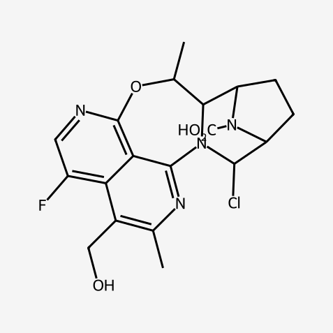 Cc1nc2c3c(ncc(F)c3c1CO)OC(C)C1C3CCC(C(Cl)N21)N3C(=O)O